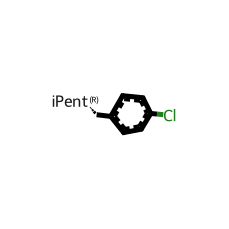 CCC[C@@H](C)Cc1ccc(Cl)cc1